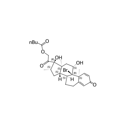 CCCCC(=O)OCC(=O)[C@@]1(O)[C@@H](C)C[C@H]2[C@@H]3CCC4=CC(=O)C=C[C@]4(C)[C@@]3(Br)[C@@H](O)C[C@@]21C